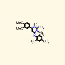 COc1ccc(C2=C/C(=N/c3c(C)cc(C)cc3C)N(C)C(C)N2C(C)=O)cc1OC